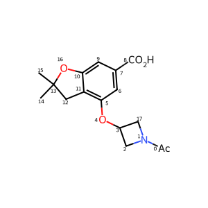 CC(=O)N1CC(Oc2cc(C(=O)O)cc3c2CC(C)(C)O3)C1